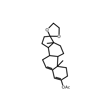 CC(=O)OC1=CC2=CCC3C(CCC4(C)C3CCC43OCCO3)C2(C)CC1